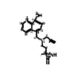 C#CCN(CCC1(C)NN1)Cc1ccc(O)c2ncccc12